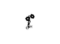 ClNCCCOc1cccc(Oc2ccccc2)c1